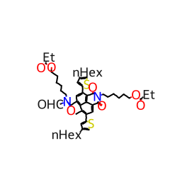 CCCCCCc1csc(-c2cc3c4c(c(-c5cc(CCCCCC)cs5)cc(C(=O)N(C=O)CCCCCCOC(=O)CC)c4c2C)C(=O)N(CCCCCCOC(=O)CC)C3=O)c1